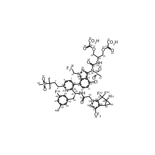 CC(C)(CCc1ccc(-c2ccc(Cl)c3c(N(C(=O)NC(COC(=O)C(=O)O)COC(=O)C(=O)O)S(C)(=O)=O)nn(CC(F)(F)F)c23)c([C@H](Cc2cc(F)cc(F)c2)NC(=O)Cn2nc(C(F)(F)F)c3c2C(F)(F)[C@@H]2CC32)n1)S(C)(=O)=O